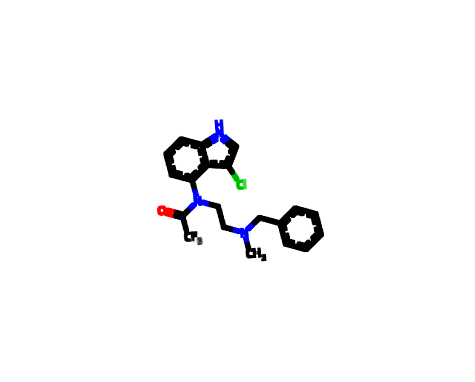 CN(CCN(C(=O)C(F)(F)F)c1cccc2[nH]cc(Cl)c12)Cc1ccccc1